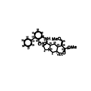 CCC1CN2CCC(Nc3cccc(-c4ccccc4)c3C=O)C2CC1/C(=C\OC)C(=O)OC